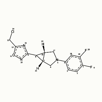 Fc1ccc(N2C[C@@H]3C(c4noc(CCl)n4)[C@@H]3C2)cc1F